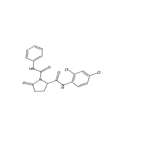 O=C(Nc1ccc(Cl)cc1Cl)C1CCC(=O)N1C(=O)Nc1ccccc1